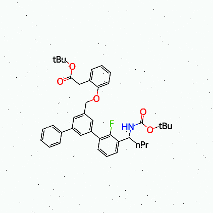 CCCC(NC(=O)OC(C)(C)C)c1cccc(-c2cc(COc3ccccc3CC(=O)OC(C)(C)C)cc(-c3ccccc3)c2)c1F